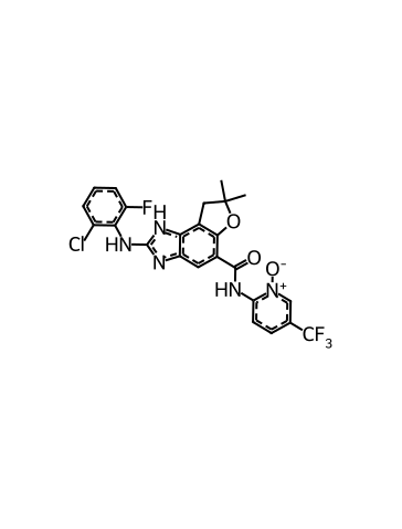 CC1(C)Cc2c(c(C(=O)Nc3ccc(C(F)(F)F)c[n+]3[O-])cc3nc(Nc4c(F)cccc4Cl)[nH]c23)O1